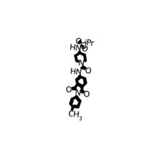 Cc1ccc(N2C(=O)c3ccc(NC(=O)N4CCC(NS(=O)(=O)C(C)C)CC4)cc3C2=O)cc1